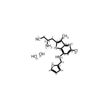 Cc1c(C[C@@H](N)CC#N)sc2c(NCc3ccco3)cc(Cl)nc12.Cl.Cl